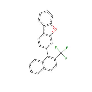 FC(F)(F)c1ccc2ccccc2c1-c1ccc2c(c1)oc1ccccc12